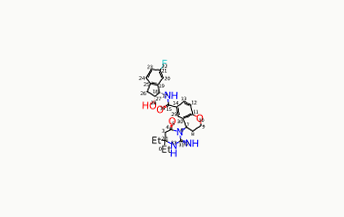 CCC1(CC)CC(=O)N([C@@H]2CCOc3ccc(C(=O)N[C@H]4c5cc(F)ccc5C[C@H]4O)cc32)C(=N)N1